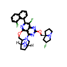 Fc1c(-c2cccc3cccc(F)c23)nc2c3c(nc(OC[C@@]45CCCN4C[C@H](F)C5)nc13)N1C[C@@H]3CC[C@@H](N3)C1CO2